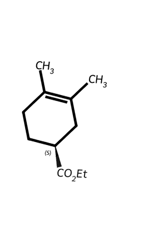 CCOC(=O)[C@H]1CCC(C)=C(C)C1